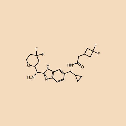 N[C@H](c1nc2ccc([C@H](NC(=O)CC3CC(F)(F)C3)C3CC3)cc2[nH]1)C1CC(F)(F)CCO1